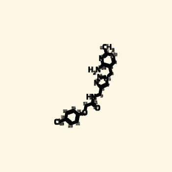 Cc1ncc(Cn2cc(CNC(=O)COc3ccc(Cl)cc3)nn2)c(N)n1